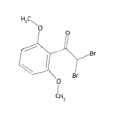 COc1cccc(OC)c1C(=O)C(Br)Br